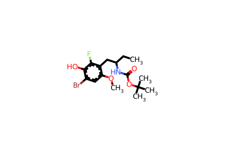 CCC(Cc1c(OC)cc(Br)c(O)c1F)NC(=O)OC(C)(C)C